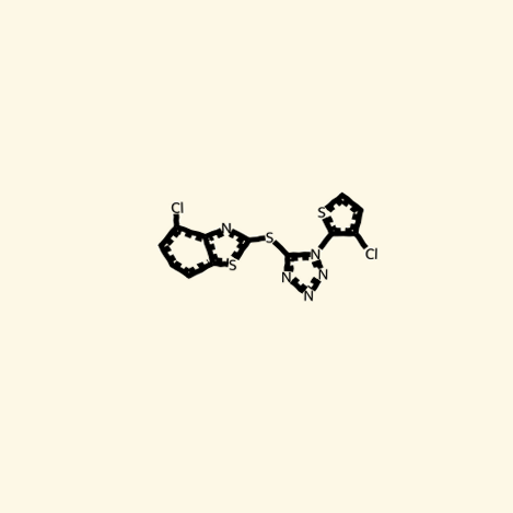 Clc1ccsc1-n1nnnc1Sc1nc2c(Cl)cccc2s1